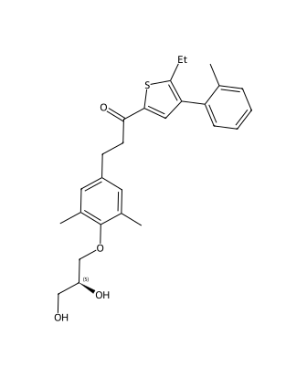 CCc1sc(C(=O)CCc2cc(C)c(OC[C@@H](O)CO)c(C)c2)cc1-c1ccccc1C